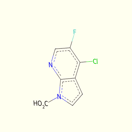 O=C(O)n1ccc2c(Cl)c(F)cnc21